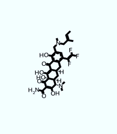 C/C=C(\C)CN(C)Cc1cc(C(F)=C(F)F)c2c(c1O)C(=O)C1=C(O)[C@]3(O)C(=O)C(C(N)=O)=C(O)[C@@H](N(C)C)[C@@H]3C[C@@H]1C2